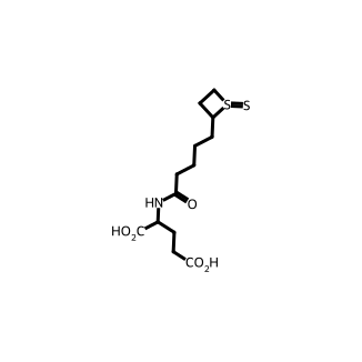 O=C(O)CCC(NC(=O)CCCCC1CCS1=S)C(=O)O